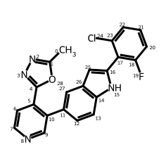 Cc1nnc(-c2ccncc2-c2ccc3[nH]c(-c4c(F)cccc4Cl)cc3c2)o1